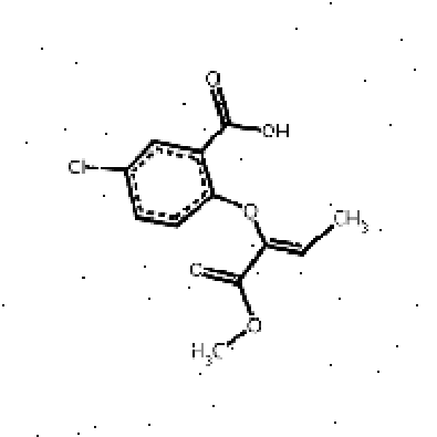 C/C=C(\Oc1ccc(Cl)cc1C(=O)O)C(=O)OC